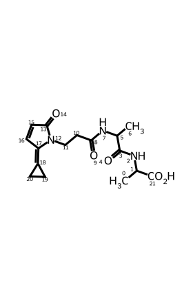 CC(NC(=O)C(C)NC(=O)CCN1C(=O)C=CC1=C1CC1)C(=O)O